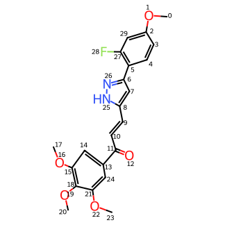 COc1ccc(-c2cc(C=CC(=O)c3cc(OC)c(OC)c(OC)c3)[nH]n2)c(F)c1